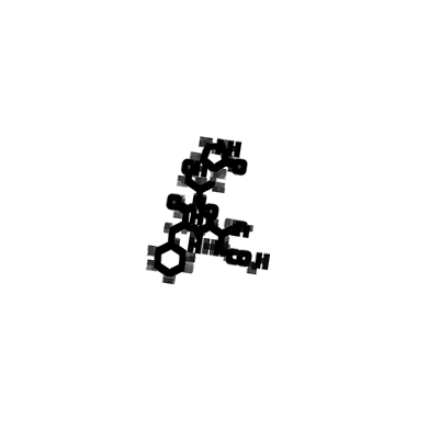 CC(C)C(NC(=O)O)C(=O)NC(CC1CCCCC1)C(=O)NC(CO)C[C@@H]1CCNC1=O